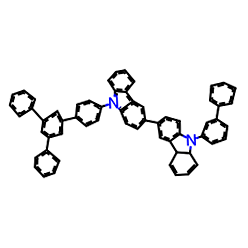 C1=CC2c3cc(-c4ccc5c(c4)c4ccccc4n5-c4ccc(-c5cc(-c6ccccc6)cc(-c6ccccc6)c5)cc4)ccc3N(c3cccc(-c4ccccc4)c3)C2C=C1